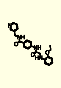 CCOc1ccccc1NCC(=O)Nc1ccc(C(=O)NCc2cccnc2)cc1